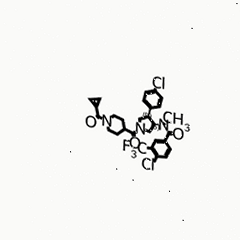 CN(C(=O)c1ccc(Cl)c(C(F)(F)F)c1)[C@@H]1CN(C(=O)C2CCN(C(=O)C3=CC3)CC2)C[C@H]1c1ccc(Cl)cc1